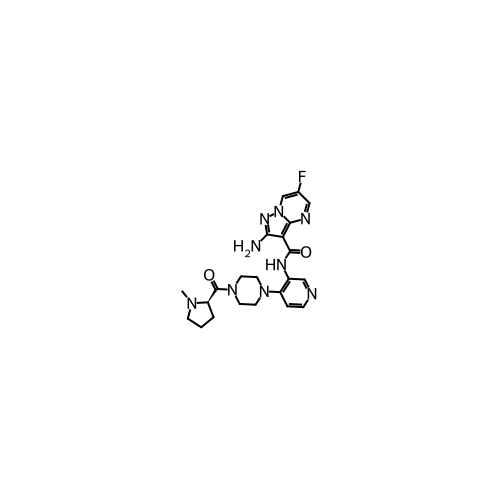 CN1CCC[C@@H]1C(=O)N1CCN(c2ccncc2NC(=O)c2c(N)nn3cc(F)cnc23)CC1